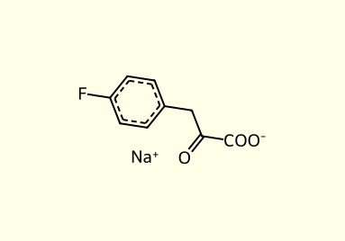 O=C([O-])C(=O)Cc1ccc(F)cc1.[Na+]